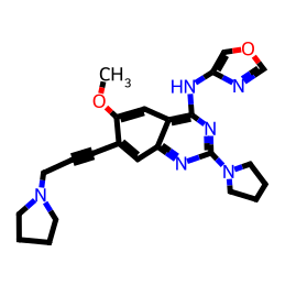 COc1cc2c(Nc3cocn3)nc(N3CCCC3)nc2cc1C#CCN1CCCC1